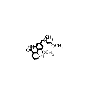 COCCN(C)Cc1cc(OC)c2c3c(c(=O)[nH]c2c1)CCCN3